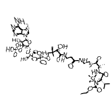 CCOC(=O)N([C@H](C(=O)N[C@@H](C)C(=O)SCCNC(=O)CCNC(=O)[C@H](O)C(C)(C)COP(=O)(O)OP(=O)(O)OC[C@H]1O[C@@H](n2cnc3c(N)ncnc32)[C@H](O)[C@@H]1OP(=O)(O)O)C(C)C)[Si](C)(C)C